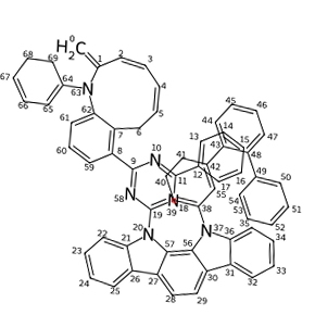 C=C1/C=C\C=C/Cc2c(-c3nc(-c4ccccc4)nc(-n4c5ccccc5c5ccc6c7ccccc7n(C7=CCCC(c8ccccc8-c8ccccc8)=C7)c6c54)n3)cccc2N1C1=CC=CCC1